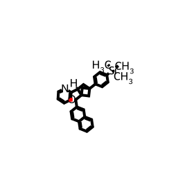 C[Si](C)(C)c1ccc(C23C[C@@H](c4ccccn4)C(C(=O)c4ccc5ccccc5c4)(C2)C3)cc1